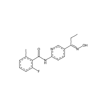 CC/C(=N\O)c1ccc(NC(=O)c2c(C)cccc2F)nc1